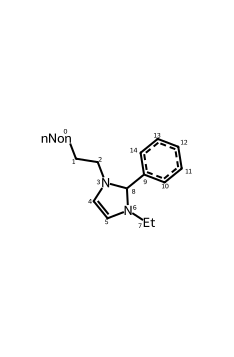 CCCCCCCCCCCN1C=CN(CC)C1c1ccccc1